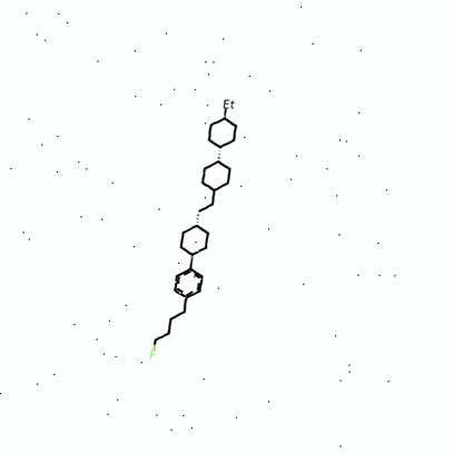 CC[C@H]1CC[C@H](C2CCC(CC[C@H]3CC[C@H](c4ccc(CCCCF)cc4)CC3)CC2)CC1